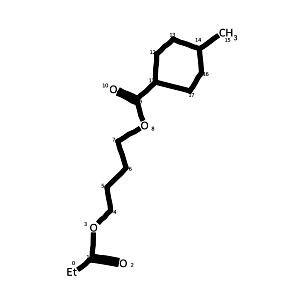 CCC(=O)OCCCCOC(=O)C1CCC(C)CC1